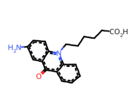 Nc1ccc2c(c1)c(=O)c1ccccc1n2CCCCCC(=O)O